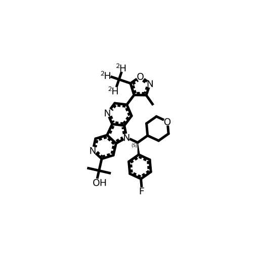 [2H]C([2H])([2H])c1onc(C)c1-c1cnc2c3cnc(C(C)(C)O)cc3n([C@H](c3ccc(F)cc3)C3CCOCC3)c2c1